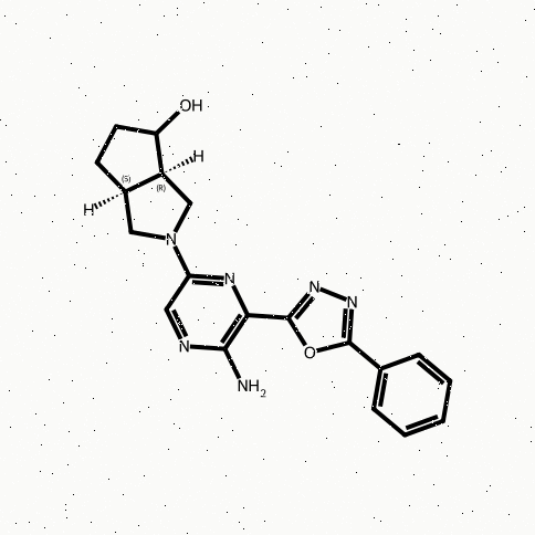 Nc1ncc(N2C[C@H]3CCC(O)[C@H]3C2)nc1-c1nnc(-c2ccccc2)o1